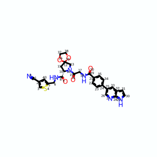 N#Cc1csc(CNC(=O)[C@@H]2CC3(CN2C(=O)CNC(=O)c2ccc(-c4cnc5[nH]ccc5c4)cc2)OCCO3)c1